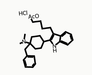 CC(=O)OCCCCc1c(C2CCC(Cc3ccccc3)(N(C)C)CC2)[nH]c2ccccc12.Cl